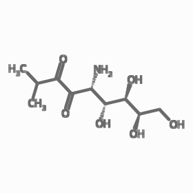 CC(C)C(=O)C(=O)[C@H](N)[C@@H](O)[C@@H](O)[C@H](O)CO